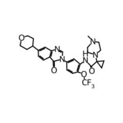 CN1CCN(C2(C(=O)Nc3cc(-n4cnc5cc(C6CCOCC6)ccc5c4=O)ccc3OC(F)(F)F)CC2)CC1